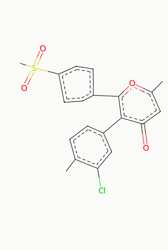 Cc1cc(=O)c(-c2ccc(C)c(Cl)c2)c(-c2ccc(S(C)(=O)=O)cc2)o1